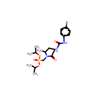 CC(C)OP(=O)(CN1C(=O)[C@@H](NC(=O)Nc2ccc(Br)cc2)CC1C)OC(C)C